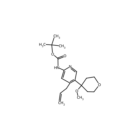 C=CCc1cc(NC(=O)OC(C)(C)C)ncc1C1(OC)CCOCC1